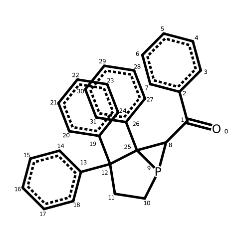 O=C(c1ccccc1)C1P2CCC(c3ccccc3)(c3ccccc3)C12c1ccccc1